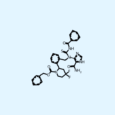 NC(=O)c1[nH]cnc1N(Cc1ccccc1C1CC(F)(F)CCN1C(=O)OCc1ccccc1)C(=S)NC(=O)c1ccccc1